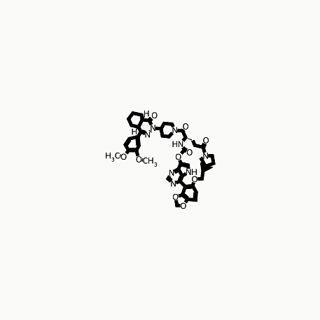 COc1ccc(C2=NN(C3CCN(C(=O)[C@H](CCC(=O)N4CCCC4)NC(=O)Oc4c[nH]c5c(-c6c(OCC7CC7)ccc7c6OCO7)ncnc45)CC3)C(=O)[C@@H]3CCCC[C@H]23)cc1OC